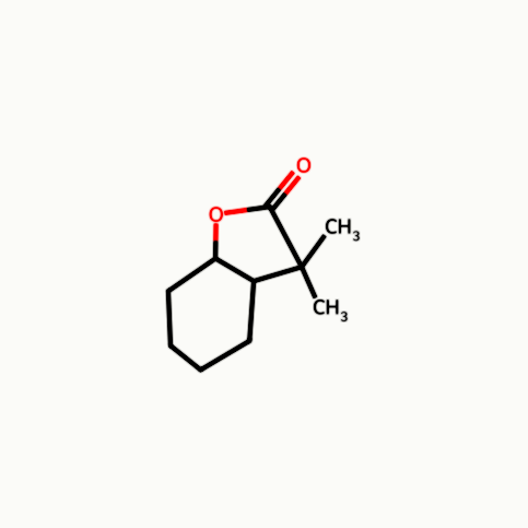 CC1(C)C(=O)OC2CCCCC21